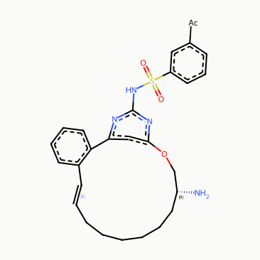 CC(=O)c1cccc(S(=O)(=O)Nc2nc3cc(n2)-c2ccccc2/C=C/CCCCCC[C@@H](N)CO3)c1